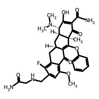 COc1cc(CNCC(N)=O)c(F)c2c1C(=O)C1=C(Oc3ccccc3)[C@]3(C)C(=O)C(C(N)=O)=C(O)[C@@H](N(C)C)[C@@H]3C[C@@H]1C2